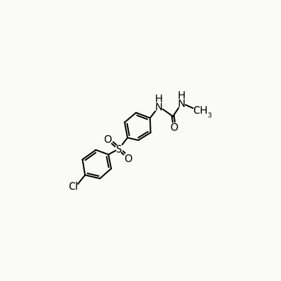 CNC(=O)Nc1ccc(S(=O)(=O)c2ccc(Cl)cc2)cc1